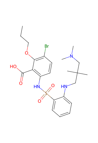 CCCOc1c(Br)ccc(NS(=O)(=O)c2ccccc2NCC(C)(C)CN(C)C)c1C(=O)O